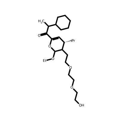 CCOC1OC(C(=O)C(C)C2CCCCC2)=C[C@H](C(C)C)C1CCOCCOCCO